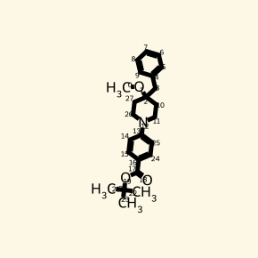 COC1(Cc2ccccc2)CCN(c2ccc(C(=O)OC(C)(C)C)cc2)CC1